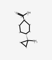 NC1([C@H]2CC[C@H](C(=O)O)CC2)CC1